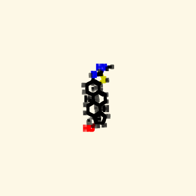 CNc1nc2c(s1)C1=CC[C@H]3[C@@H]4CC[C@H](O)[C@@]4(C)CC[C@@H]3[C@@]1(C)CC2